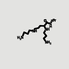 CCCNC(=O)C(CCCNCCCN)NCCCN